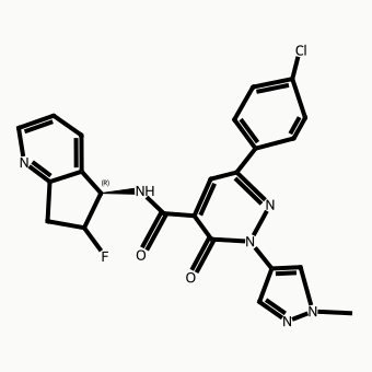 Cn1cc(-n2nc(-c3ccc(Cl)cc3)cc(C(=O)N[C@@H]3c4cccnc4CC3F)c2=O)cn1